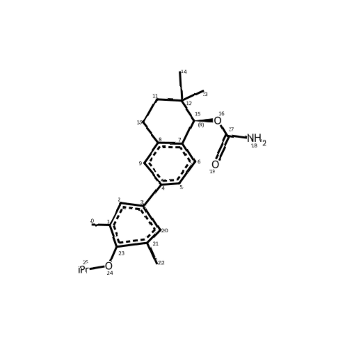 Cc1cc(-c2ccc3c(c2)CCC(C)(C)[C@H]3OC(N)=O)cc(C)c1OC(C)C